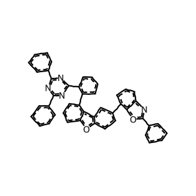 c1ccc(-c2nc(-c3ccccc3)nc(-c3ccccc3-c3cccc4oc5ccc(-c6cccc7nc(-c8ccccc8)oc67)cc5c34)n2)cc1